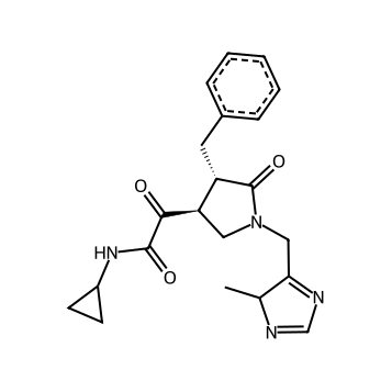 CC1N=CN=C1CN1C[C@@H](C(=O)C(=O)NC2CC2)[C@H](Cc2ccccc2)C1=O